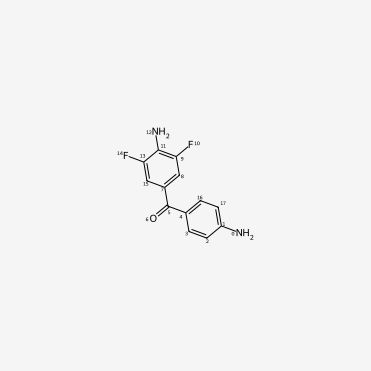 Nc1ccc(C(=O)c2cc(F)c(N)c(F)c2)cc1